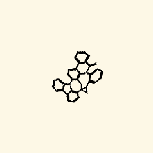 O=c1c2ccccc2c2ccc3c4c2n1-c1ccccc1C1CC1(C4)c1cccc2c4ccccc4n-3c12